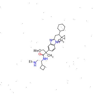 CCNC[C@H](NC(=O)C(C)(COC)c1ccc2[nH]c(CC(C3CCCCC3)C3(C)CC3)nc2c1)C1CCC1